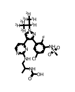 [2H]C([2H])([2H])C([2H])(n1cc(-c2ccnc(NCC(C)NC(=O)O)n2)c(-c2cc(Cl)cc(NS(C)(=O)=O)c2F)n1)C([2H])([2H])[2H]